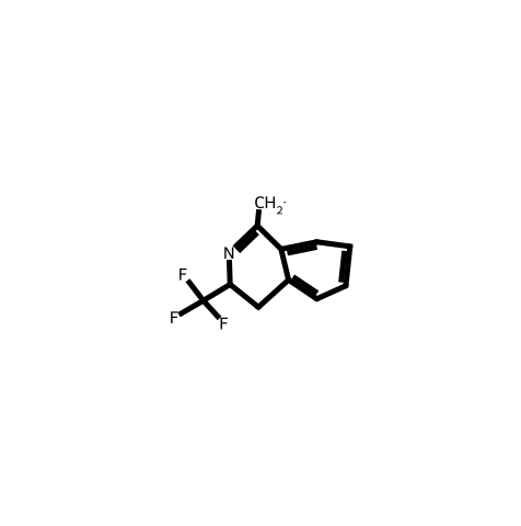 [CH2]C1=NC(C(F)(F)F)Cc2ccccc21